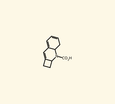 O=C(O)N1C2CC=CC=C2C=C2CCC21